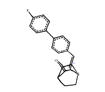 O=C1/C(=C\c2ccc(-c3ccc(F)cc3)cc2)N2CCC1CC2